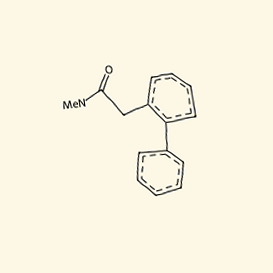 CNC(=O)Cc1ccccc1-c1ccccc1